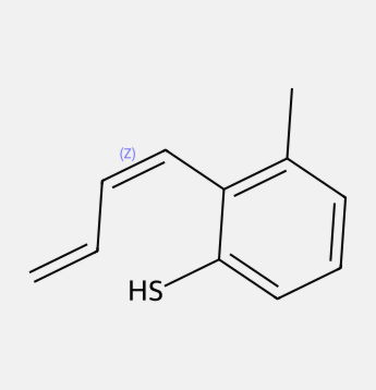 C=C/C=C\c1c(C)cccc1S